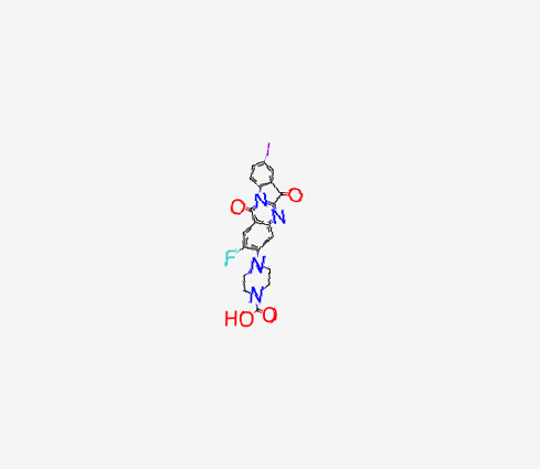 O=C1c2cc(I)ccc2-n2c1nc1cc(N3CCN(C(=O)O)CC3)c(F)cc1c2=O